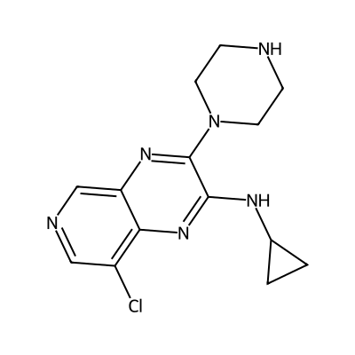 Clc1cncc2nc(N3CCNCC3)c(NC3CC3)nc12